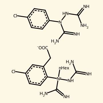 CCCCCC[N+](NC(=N)N)(C(=N)N)c1ccc(Cl)cc1CC(=O)[O-].N=C(N)NN(C(=N)N)c1ccc(Cl)cc1